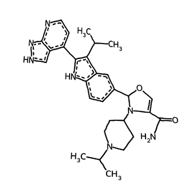 CC(C)c1c(-c2ccnc3n[nH]cc23)[nH]c2ccc(C3OC=C(C(N)=O)N3C3CCN(C(C)C)CC3)cc12